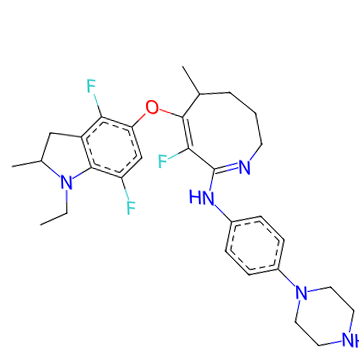 CCN1c2c(F)cc(O/C3=C(F)/C(Nc4ccc(N5CCNCC5)cc4)=N\CCCC3C)c(F)c2CC1C